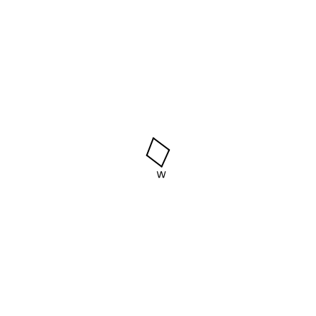 C1CCC1.[W]